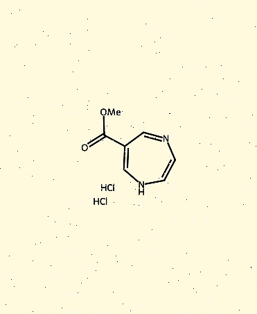 COC(=O)C1=CNC=CN=C1.Cl.Cl